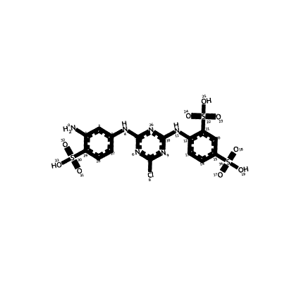 Nc1cc(Nc2nc(Cl)nc(Nc3ccc(S(=O)(=O)O)cc3S(=O)(=O)O)n2)ccc1S(=O)(=O)O